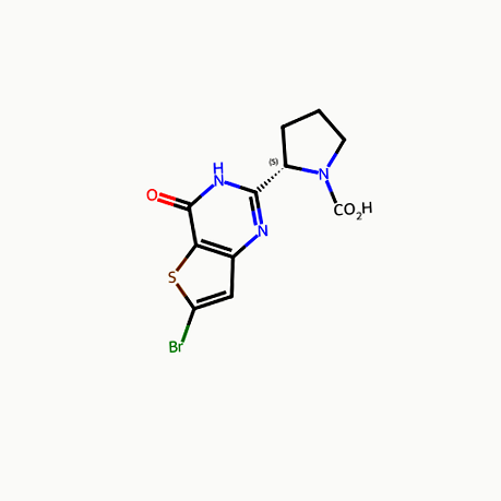 O=C(O)N1CCC[C@H]1c1nc2cc(Br)sc2c(=O)[nH]1